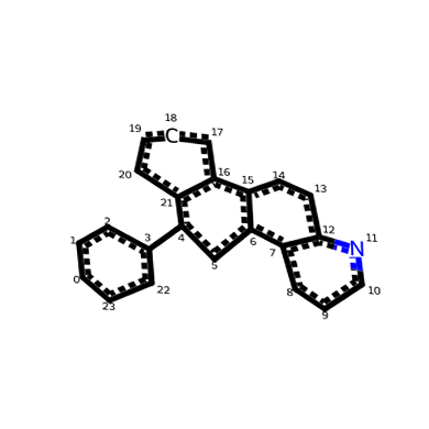 c1ccc(-c2cc3c4cccnc4ccc3c3ccccc23)cc1